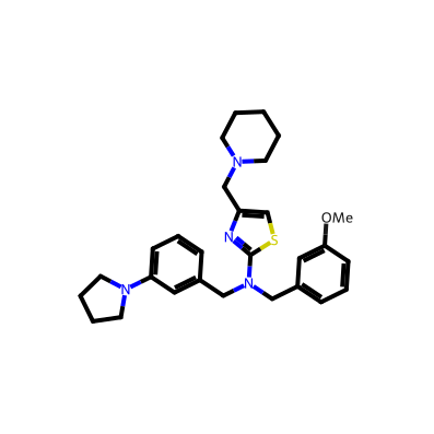 COc1cccc(CN(Cc2cccc(N3CCCC3)c2)c2nc(CN3CCCCC3)cs2)c1